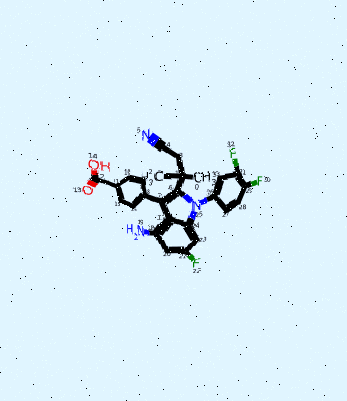 CC(C)(CC#N)c1c(-c2ccc(C(=O)O)cc2)c2c(N)cc(F)cc2n1-c1ccc(F)c(F)c1